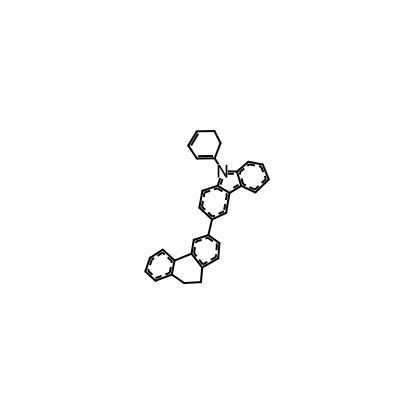 C1=CCCC(n2c3ccccc3c3cc(-c4ccc5c(c4)-c4ccccc4CC5)ccc32)=C1